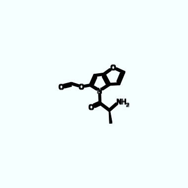 C[C@H](N)C(=O)n1c(OC=O)cc2occc21